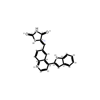 O=C1NC(=O)/C(=C/c2ccc3nccc(-c4cc5ccccc5s4)c3c2)S1